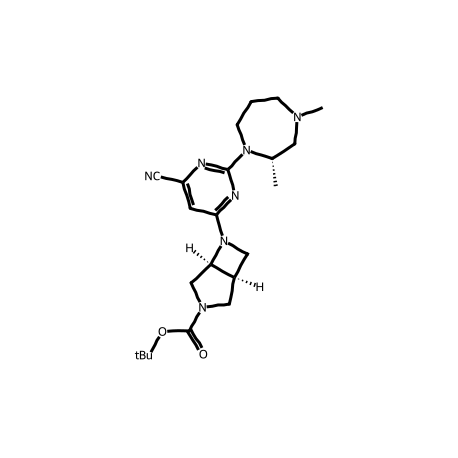 C[C@H]1CN(C)CCCN1c1nc(C#N)cc(N2C[C@H]3CN(C(=O)OC(C)(C)C)C[C@H]32)n1